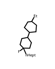 CCCCCCCC1(F)CCC(C2CCC(CC)CC2)CC1